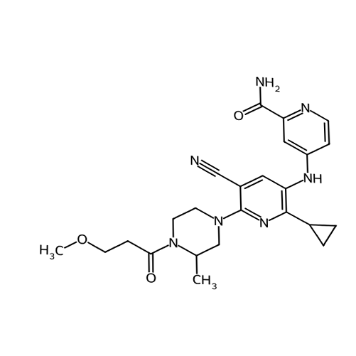 COCCC(=O)N1CCN(c2nc(C3CC3)c(Nc3ccnc(C(N)=O)c3)cc2C#N)CC1C